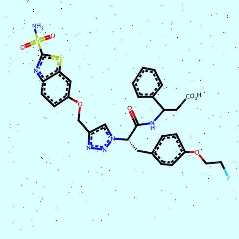 NS(=O)(=O)c1nc2ccc(OCc3cn([C@@H](Cc4ccc(OCCF)cc4)C(=O)NC(CC(=O)O)c4ccccc4)nn3)cc2s1